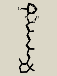 CCOC(/C=C(C)/C=C/C=C(C)/C=C/C1=C(C)CCCC1(C)C)Nc1ccccc1CC